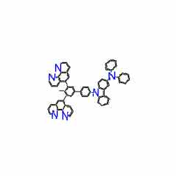 Cc1c(-c2cc3cccnc3c3ncccc23)cc(-c2ccc(-n3c4ccccc4c4cc(N(c5ccccc5)c5ccccc5)ccc43)cc2)cc1-c1cc2cccnc2c2ncccc12